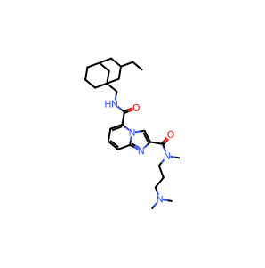 CCC1CC2CCCC(CNC(=O)c3cccc4nc(C(=O)N(C)CCCN(C)C)cn34)(C1)C2